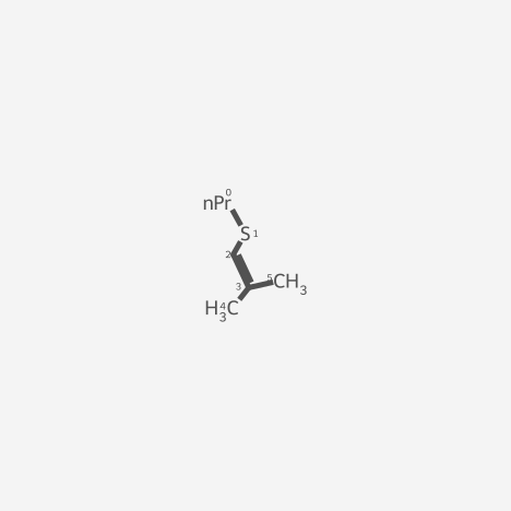 CCCSC=C(C)C